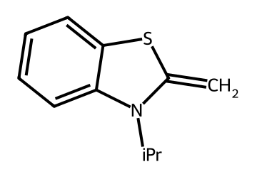 C=C1Sc2ccccc2N1C(C)C